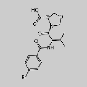 CC(C)C(NC(=O)c1ccc(Br)cc1)C(=O)N1COC[C@H]1C(=O)O